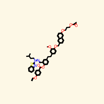 C=COc1ccc(C(=O)Oc2ccc(CCc3ccc(OCc4ccc5cc(OCCCOC6CO6)ccc5c4)c(OC)c3)cc2/C=N/N(CCC(C)C)c2nc3ccccc3s2)cc1